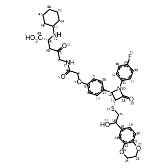 O=C(CNC(=O)COc1ccc([C@@H]2[C@@H](SCC(O)c3ccc4c(c3)OCCO4)C(=O)N2c2ccc(F)cc2)cc1)C[C@@H](NC1CCCCC1)C(=O)O